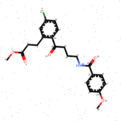 COC(=O)CCc1cc(Cl)ccc1C(=O)CCCNC(=O)c1ccc(OC)cc1